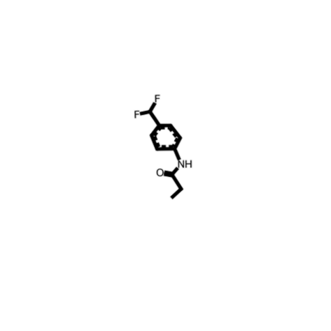 CCC(=O)Nc1ccc(C(F)F)cc1